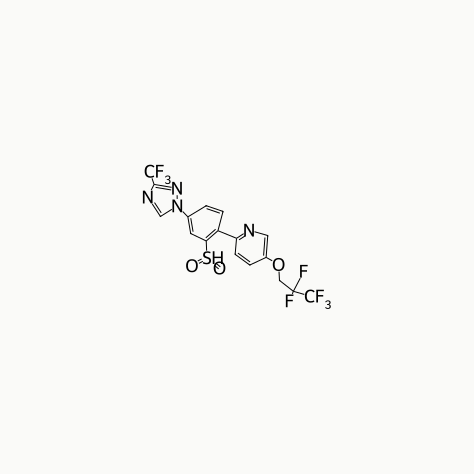 O=[SH](=O)c1cc(-n2cnc(C(F)(F)F)n2)ccc1-c1ccc(OCC(F)(F)C(F)(F)F)cn1